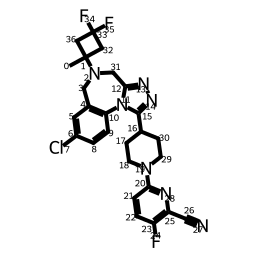 CC1(N2Cc3cc(Cl)ccc3-n3c(nnc3C3CCN(c4ccc(F)c(C#N)n4)CC3)C2)CC(F)(F)C1